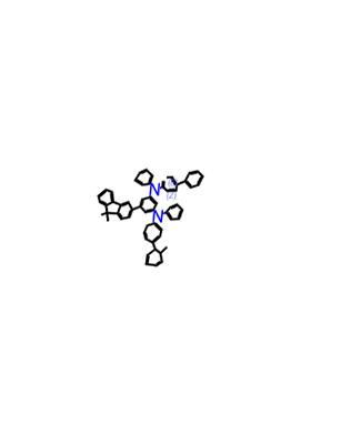 C=C(/C=C\C(=C/C)c1ccccc1)N(c1ccccc1)c1cc(-c2ccc3c(c2)-c2ccccc2C3(C)C)cc(N(C2=CC=C(C3C=CC=CC3C)C=CC2)c2ccccc2)c1